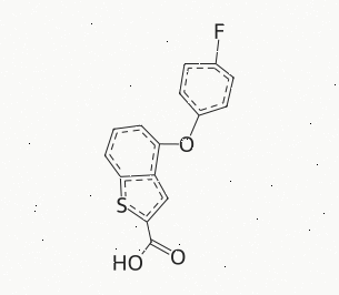 O=C(O)c1cc2c(Oc3ccc(F)cc3)cccc2s1